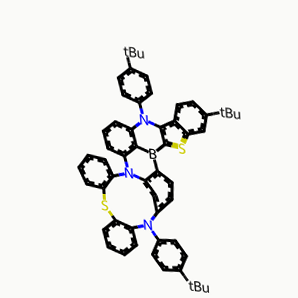 CC(C)(C)c1ccc(N2c3ccc4c(c3)N(c3ccccc3Sc3ccccc32)c2cccc3c2B4c2sc4cc(C(C)(C)C)ccc4c2N3c2ccc(C(C)(C)C)cc2)cc1